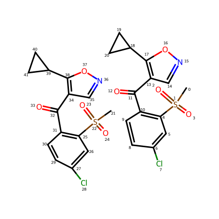 CS(=O)(=O)c1cc(Cl)ccc1C(=O)c1cnoc1C1CC1.CS(=O)(=O)c1cc(Cl)ccc1C(=O)c1cnoc1C1CC1